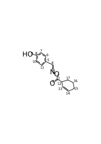 O=C(O/N=C/c1ccc(O)cc1)C1C=CCCC1